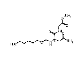 CCCCCCOCN[C@H](CC(N)=O)C(=O)NCC(=O)OC